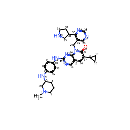 CN1CCCC(Nc2ccc(Nc3ncc4cc(C5CC5)c(=O)n(Cc5cncnc5C5CCNC5)c4n3)cc2)C1